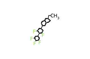 CCc1ccc2cc(-c3cc(F)c(-c4cc(F)c(F)c(F)c4)c(F)c3)ccc2c1